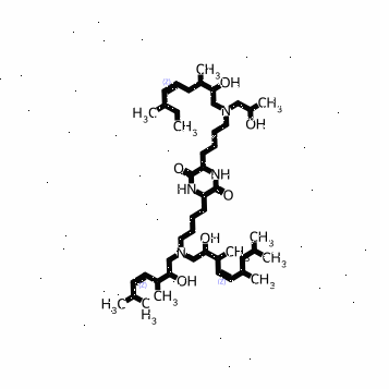 CCC(C)/C=C\CC(C)C(O)CN(CCCCC1NC(=O)C(CCCCN(CC(O)C(C)/C=C\C(C)C)CC(O)C(C)/C=C\C(C)CC(C)C)NC1=O)CC(C)O